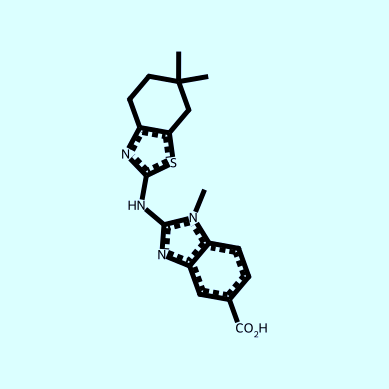 Cn1c(Nc2nc3c(s2)CC(C)(C)CC3)nc2cc(C(=O)O)ccc21